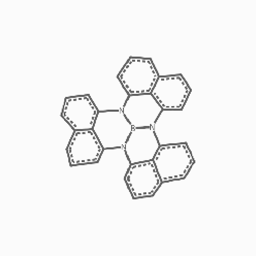 c1cc2c3c(cccc3c1)N1B3N2c2cccc4cccc(c24)N3c2cccc3cccc1c23